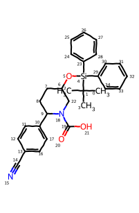 CC(C)(C)[Si](OC1CCC(c2ccc(C#N)cc2)N(C(=O)O)C1)(c1ccccc1)c1ccccc1